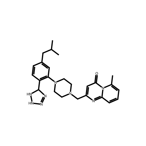 Cc1cccc2nc(CN3CCN(c4cc(CC(C)C)ccc4C4N=NNN4)CC3)cc(=O)n12